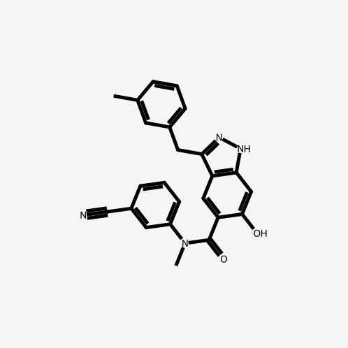 Cc1cccc(Cc2n[nH]c3cc(O)c(C(=O)N(C)c4cccc(C#N)c4)cc23)c1